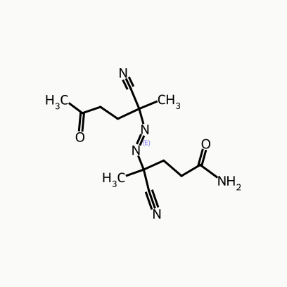 CC(=O)CCC(C)(C#N)/N=N/C(C)(C#N)CCC(N)=O